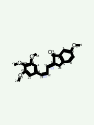 COc1ccc2c(c1)C(=O)/C(=C/C=C\c1cc(OC)c(OC)c(OC)c1)C2